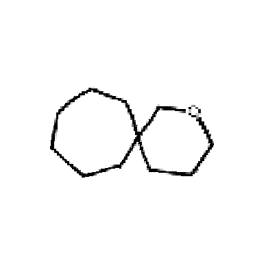 C1CCCC2(CC1)CCCOC2